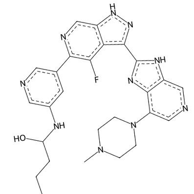 CCCC(O)Nc1cncc(-c2ncc3[nH]nc(-c4nc5c(N6CCN(C)CC6)cncc5[nH]4)c3c2F)c1